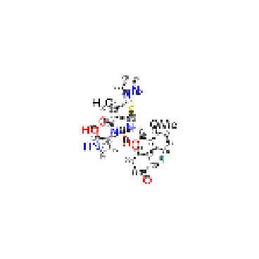 COc1ccc(F)cc1[C@H](Cn1c(=O)n([C@@H]2CCNC2O)c(=O)c2c(C)c(-n3cccn3)sc21)OC1CCC(=O)CC1